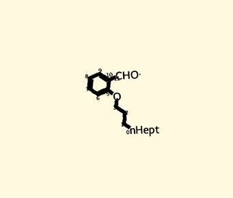 CCCCCCCCCCOc1ccccc1[C]=O